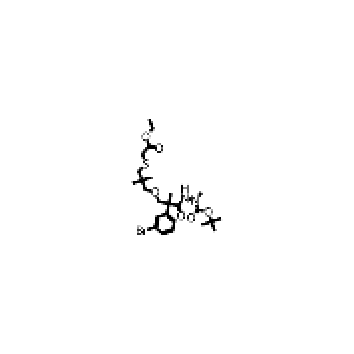 CCOC(=O)CSCC(C)(C)COCC(C)(C(=O)NN(C)C(=O)OC(C)(C)C)c1cccc(Br)c1